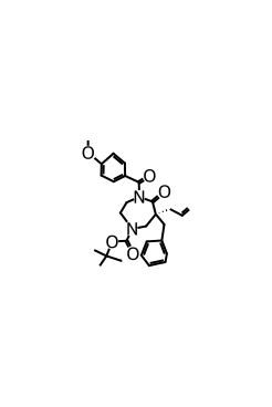 C=CC[C@]1(Cc2ccccc2)CN(C(=O)OC(C)(C)C)CCN(C(=O)c2ccc(OC)cc2)C1=O